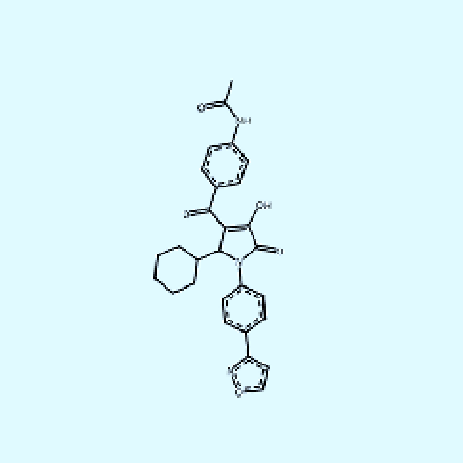 CC(=O)Nc1ccc(C(=O)C2=C(O)C(=O)N(c3ccc(-c4ccon4)cc3)C2C2CCCCC2)cc1